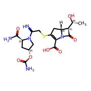 C[C@@H](O)[C@H]1C(=O)N2C(C(=O)O)=C(SCC(=N)N3C[C@H](OC(N)=O)C[C@H]3C(N)=O)C[C@H]12